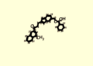 C=C1C=C(C(=O)CCC2=CC3C=C(COC(O)C4CCCCC4)C=CC3=C2)C=C2C=CC=CC12